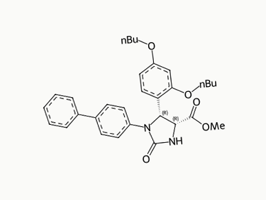 CCCCOc1ccc([C@@H]2[C@H](C(=O)OC)NC(=O)N2c2ccc(-c3ccccc3)cc2)c(OCCCC)c1